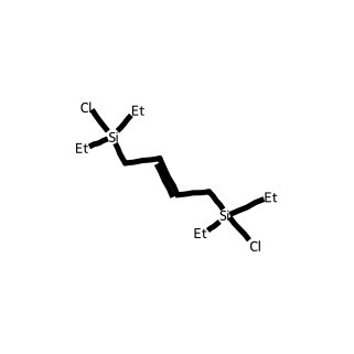 CC[Si](Cl)(CC)CC=CC[Si](Cl)(CC)CC